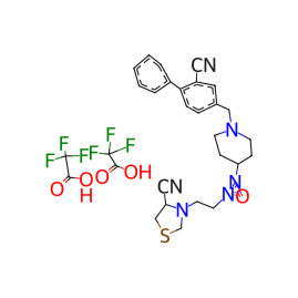 N#Cc1cc(CN2CCC(n3on3CCN3CSCC3C#N)CC2)ccc1-c1ccccc1.O=C(O)C(F)(F)F.O=C(O)C(F)(F)F